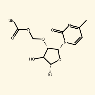 CC[C@H]1O[C@@H](n2ccc(C)nc2=O)[C@@H](OCOC(=O)C(C)(C)C)C1O